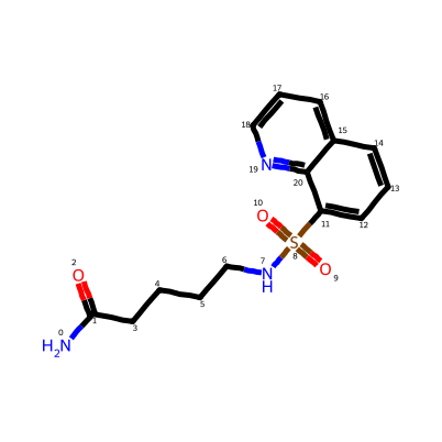 NC(=O)CCCCNS(=O)(=O)c1cccc2cccnc12